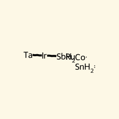 [Co].[Ru].[SbH2][Ir][Ta].[SnH2]